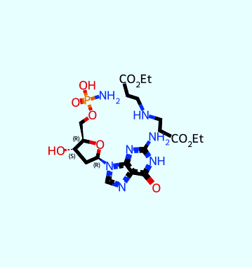 CCOC(=O)CCNCCC(=O)OCC.Nc1nc2c(ncn2[C@H]2C[C@H](O)[C@@H](COP(N)(=O)O)O2)c(=O)[nH]1